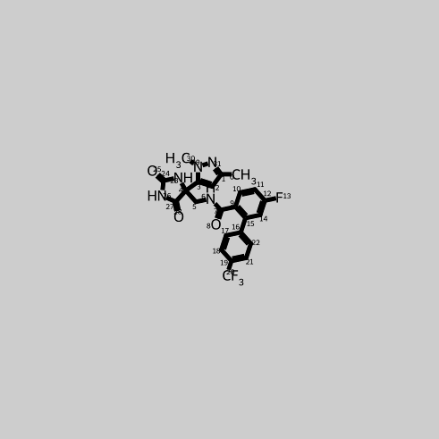 Cc1cc(C2(CNC(=O)c3ccc(F)cc3-c3ccc(C(F)(F)F)cc3)NC(=O)NC2=O)n(C)n1